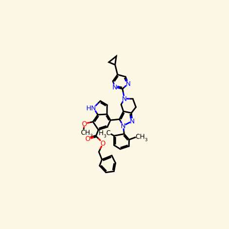 COc1c(C(=O)OCc2ccccc2)cc(-c2c3c(nn2-c2c(C)cccc2C)CCN(c2ncc(C4CC4)cn2)C3)c2cc[nH]c12